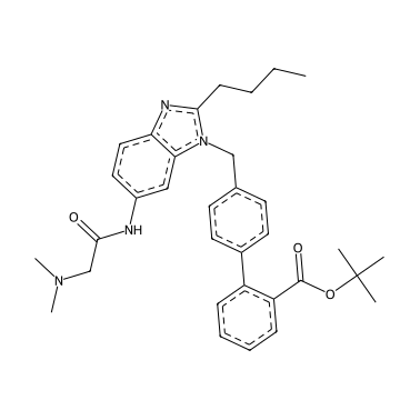 CCCCc1nc2ccc(NC(=O)CN(C)C)cc2n1Cc1ccc(-c2ccccc2C(=O)OC(C)(C)C)cc1